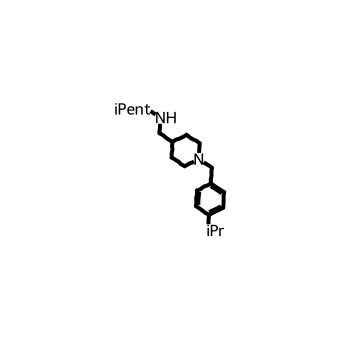 CCCC(C)NCC1CCN(Cc2ccc(C(C)C)cc2)CC1